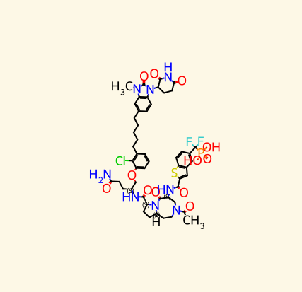 CC(=O)N1CC[C@H]2CC[C@@H](C(=O)N[C@@H](CCC(N)=O)COc3cccc(CCCCCc4ccc5c(c4)n(C)c(=O)n5C4CCC(=O)NC4=O)c3Cl)N2C(=O)[C@@H](NC(=O)c2cc3cc(C(F)(F)P(=O)(O)O)ccc3s2)C1